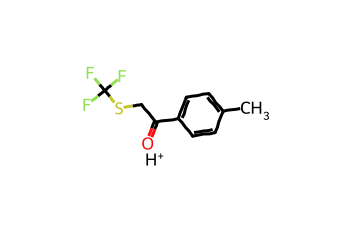 Cc1ccc(C(=O)CSC(F)(F)F)cc1.[H+]